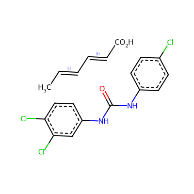 C/C=C/C=C/C(=O)O.O=C(Nc1ccc(Cl)cc1)Nc1ccc(Cl)c(Cl)c1